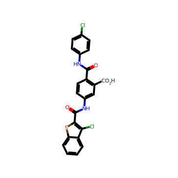 O=C(O)c1cc(NC(=O)c2sc3ccccc3c2Cl)ccc1C(=O)Nc1ccc(Cl)cc1